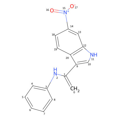 C=C(Nc1ccccc1)c1c[nH]c2cc([N+](=O)[O-])ccc12